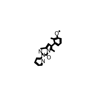 COc1cccc(-c2cc3cnn(-c4ccccn4)c(=O)n3c2C)c1C